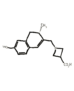 C[C@H]1Cc2cc(O)ccc2C=C1CN1CC(C(=O)O)C1